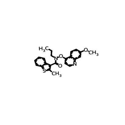 CCCN(Oc1ccnc2cc(OC)ccc12)C(=O)c1c(C)sc2ccccc12